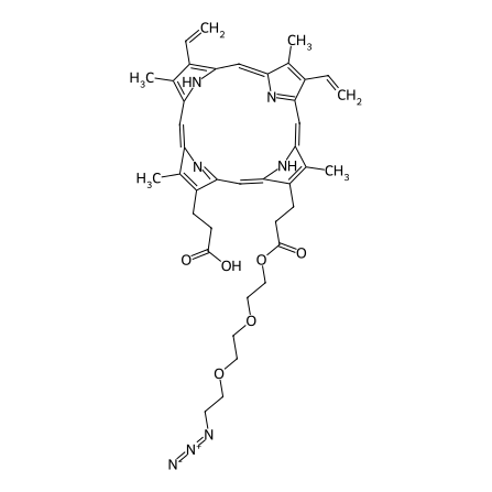 C=CC1=C(C)c2cc3[nH]c(cc4nc(cc5[nH]c(cc1n2)c(C)c5CCC(=O)OCCOCCOCCN=[N+]=[N-])C(CCC(=O)O)=C4C)c(C)c3C=C